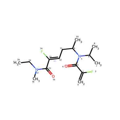 C=C(F)C(=O)N(C(C)C)C(C)C/C=C(\F)C(=O)N(C)CC